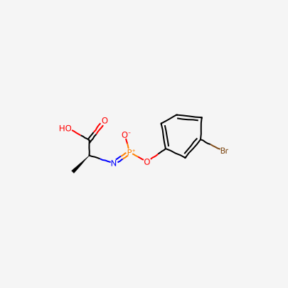 C[C@H](N=[P+]([O-])Oc1cccc(Br)c1)C(=O)O